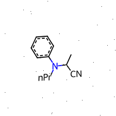 CCCN(c1ccccc1)C(C)C#N